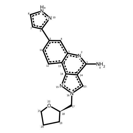 Nc1nc2cc(-c3cc[nH]n3)ccc2c2nn(C[C@H]3CCCO3)cc12